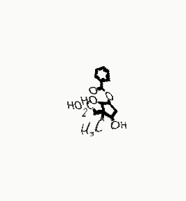 CC1(CC(=O)O)C(O)CC(OC(=O)c2ccccc2)C1O